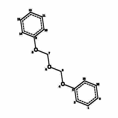 c1ccc(OCOCOc2ccccc2)cc1